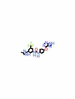 Cc1c[nH]c(-c2cc(NC(=O)Nc3ccc(Oc4ncnc5[nH]cnc45)cc3)cc(C(F)(F)F)c2)n1